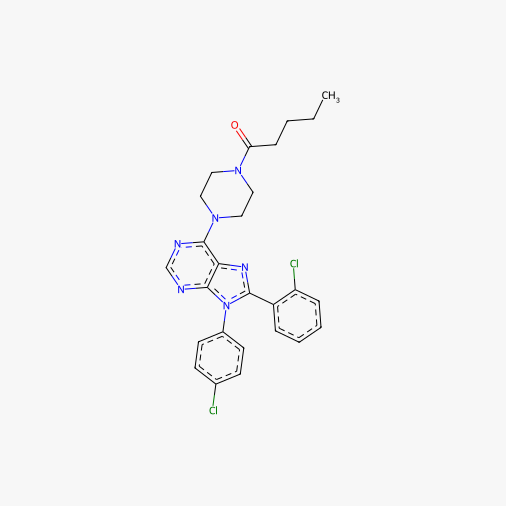 CCCCC(=O)N1CCN(c2ncnc3c2nc(-c2ccccc2Cl)n3-c2ccc(Cl)cc2)CC1